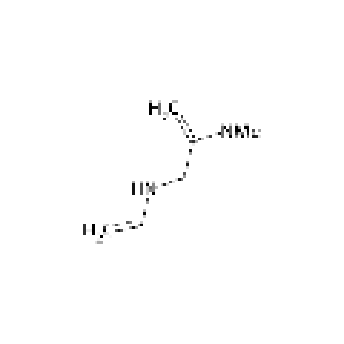 C=CNCC(=C)NC